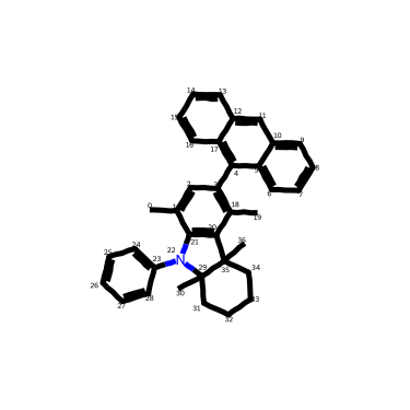 Cc1cc(-c2c3ccccc3cc3ccccc23)c(C)c2c1N(c1ccccc1)C1(C)CCCCC21C